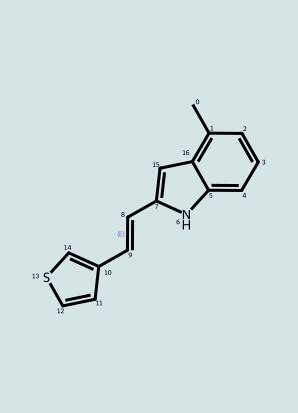 Cc1cccc2[nH]c(/C=C/c3ccsc3)cc12